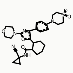 N#CC1(NC(=O)C2CCCCC2c2oc(N3CCOCC3)nc2-c2ccc(N3CCS(=O)(=O)CC3)cc2)CC1